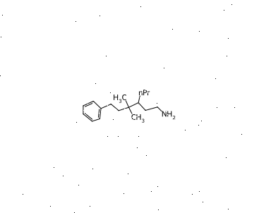 CCC[C](CCN)C(C)(C)CCc1ccccc1